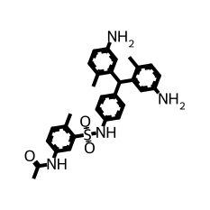 CC(=O)Nc1ccc(C)c(S(=O)(=O)Nc2ccc(C(c3cc(N)ccc3C)c3cc(N)ccc3C)cc2)c1